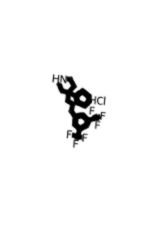 Cl.FC(F)(F)c1cc(CCCC2(c3ccccc3)CCNCC2)cc(C(F)(F)F)c1